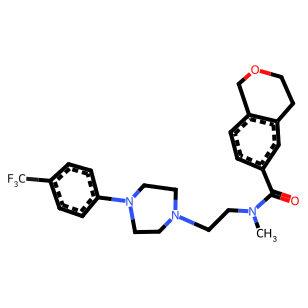 CN(CCN1CCN(c2ccc(C(F)(F)F)cc2)CC1)C(=O)c1ccc2c(c1)CCOC2